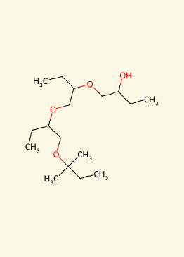 CCC(O)COC(CC)COC(CC)COC(C)(C)CC